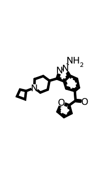 Nn1nc(C2CCN(C3CCC3)CC2)c2cc(C(=O)c3ccco3)ccc21